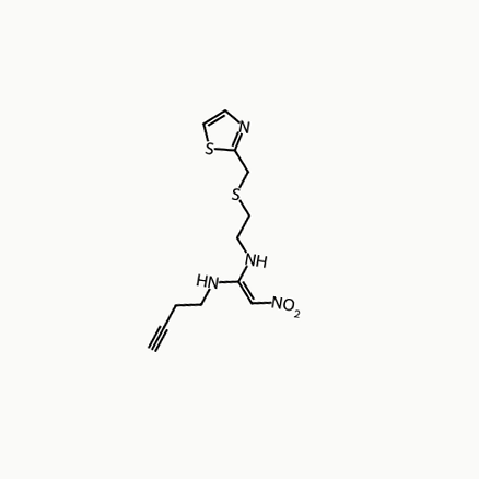 C#CCCN/C(=C/[N+](=O)[O-])NCCSCc1nccs1